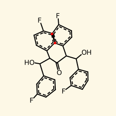 O=C(C(c1ccc(F)cc1)C(O)c1cccc(F)c1)C(c1ccc(F)cc1)C(O)c1cccc(F)c1